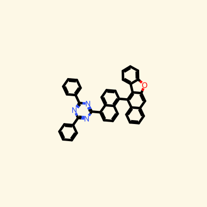 c1ccc(-c2nc(-c3ccccc3)nc(-c3cccc4c(-c5c6ccccc6cc6oc7ccccc7c56)cccc34)n2)cc1